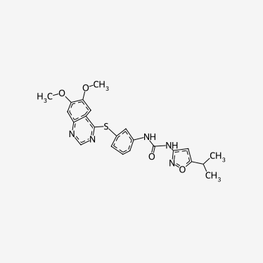 COc1cc2ncnc(Sc3cccc(NC(=O)Nc4cc(C(C)C)on4)c3)c2cc1OC